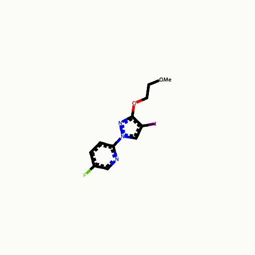 COCCOc1nn(-c2ccc(F)cn2)cc1I